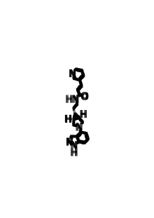 O=C(/C=C/c1cccnc1)NCC[C@@H]1[C@H]2CN(c3cccc4[nH]ncc34)C[C@@H]12